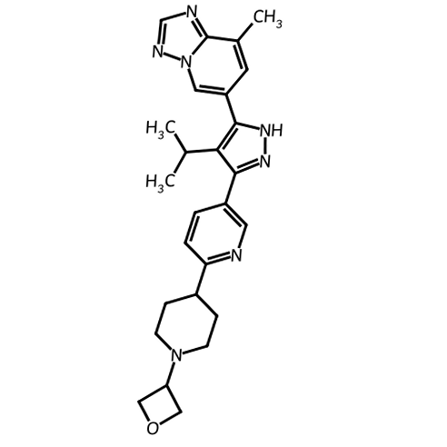 Cc1cc(-c2[nH]nc(-c3ccc(C4CCN(C5COC5)CC4)nc3)c2C(C)C)cn2ncnc12